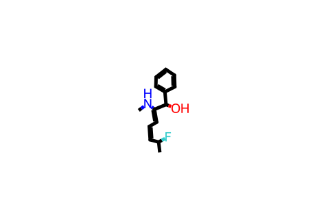 CN/C(=C\C=C/C(C)F)C(O)c1ccccc1